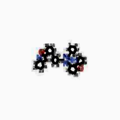 c1ccc(C2N=C(c3cccc(-c4cccc5oc6nc7ccccc7cc6c45)c3)N=C(c3cccc4oc5ccccc5c34)N2)cc1